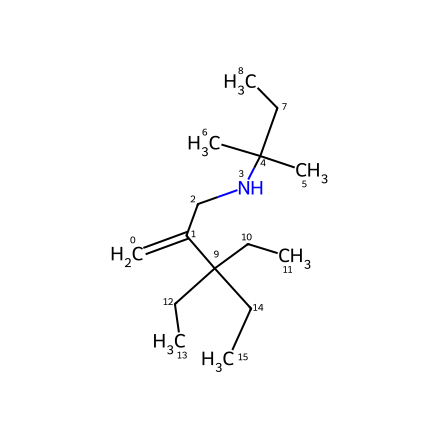 C=C(CNC(C)(C)CC)C(CC)(CC)CC